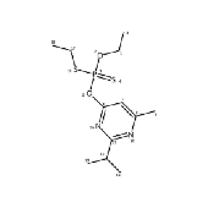 CCOP(=S)(Oc1cc(C)nc(C(C)C)n1)SCC